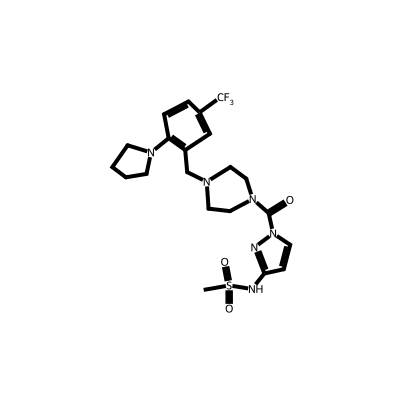 CS(=O)(=O)Nc1ccn(C(=O)N2CCN(Cc3cc(C(F)(F)F)ccc3N3CCCC3)CC2)n1